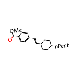 CCCCCC1CCC(C=Cc2ccc(C(=O)OC)cc2)CC1